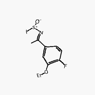 CCOc1cc(/C(C)=N/[S@@+]([O-])I)ccc1F